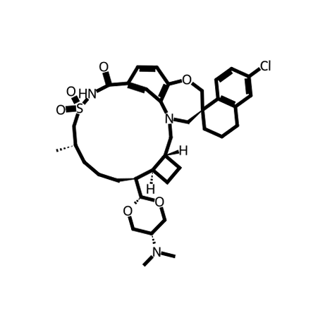 C[C@H]1CCC[C@H]([C@H]2OC[C@@H](N(C)C)CO2)[C@@H]2CC[C@H]2CN2C[C@@]3(CCCc4cc(Cl)ccc43)COc3ccc(cc32)C(=O)NS(=O)(=O)C1